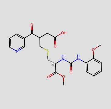 COC(=O)[C@H](CSCC(CC(=O)O)C(=O)c1cccnc1)NC(=O)Nc1ccccc1OC